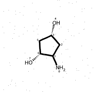 NC1C[C@@H](O)C[C@H]1O